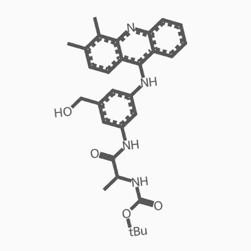 Cc1ccc2c(Nc3cc(CO)cc(NC(=O)C(C)NC(=O)OC(C)(C)C)c3)c3ccccc3nc2c1C